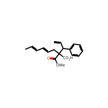 C=CC(c1ccccc1)C(CC=CC=CC)(C(=O)O)C(=O)OC